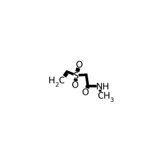 C=CS(=O)(=O)CC(=O)NC